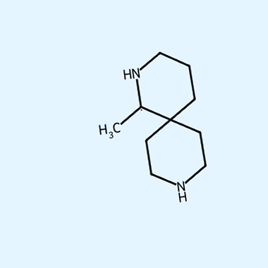 C[C]1NCCCC12CCNCC2